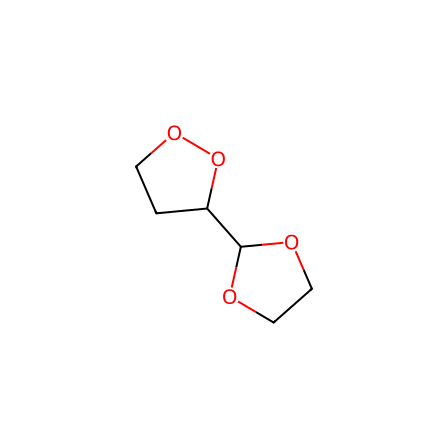 C1CC(C2OCCO2)OO1